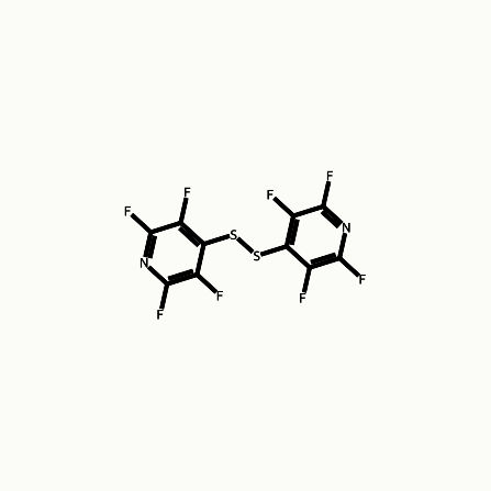 Fc1nc(F)c(F)c(SSc2c(F)c(F)nc(F)c2F)c1F